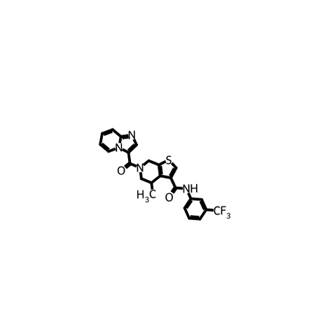 CC1CN(C(=O)c2cnc3ccccn23)Cc2scc(C(=O)Nc3cccc(C(F)(F)F)c3)c21